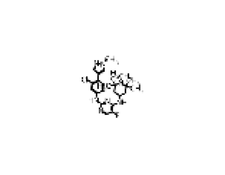 CN1C(C)(C)CC(Nc2nc(Nc3ccc(-c4cnn(C)c4)c(Cl)c3)ncc2F)CC1(C)C